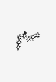 Brc1cc(-c2cccc(-c3ccc(-c4ccccc4)cc3)c2)cc(-c2cccc(-c3ccc(-c4ccccc4)cc3)c2)c1